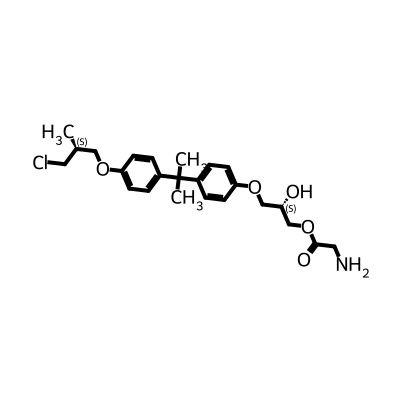 C[C@H](CCl)COc1ccc(C(C)(C)c2ccc(OC[C@H](O)COC(=O)CN)cc2)cc1